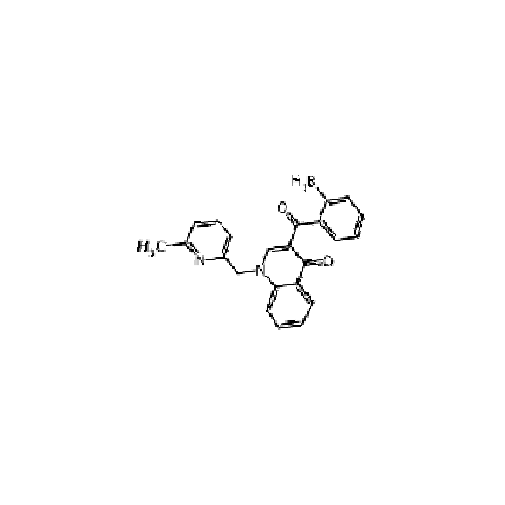 Bc1ccccc1C(=O)c1cn(Cc2cccc(C)n2)c2ccccc2c1=O